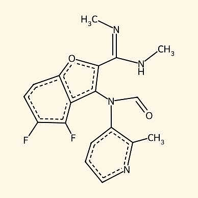 C/N=C(/NC)c1oc2ccc(F)c(F)c2c1N(C=O)c1cccnc1C